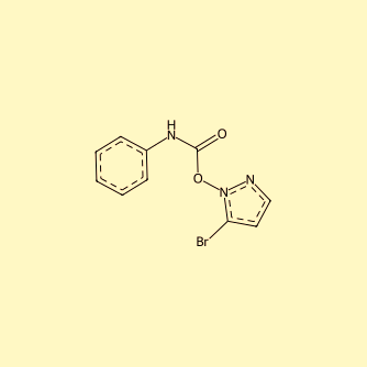 O=C(Nc1ccccc1)On1nccc1Br